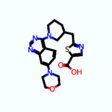 O=C(O)c1cnc(CC2CCCN(c3ncnc4cc(N5CCOCC5)ccc34)C2)s1